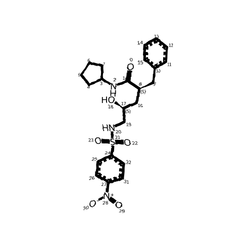 O=C(NC1CCCC1)[C@@H](Cc1ccccc1)C[C@H](O)CNS(=O)(=O)c1ccc([N+](=O)[O-])cc1